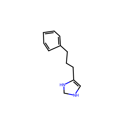 C1=C(CCCc2ccccc2)NCN1